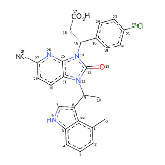 Cc1cccc2[nH]cc(C(C)n3c(=O)n([C@H](CC(=O)O)c4ccc(Cl)cc4)c4nc(C#N)ccc43)c12